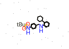 CC(C)(C)S(=O)(=O)Nc1ccc(CNc2ccccc2C2CCCCC2)cc1